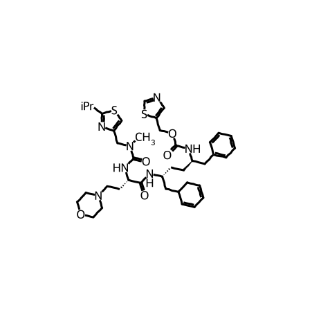 CC(C)c1nc(CN(C)C(=O)N[C@@H](CCN2CCOCC2)C(=O)N[C@H](CC[C@H](Cc2ccccc2)NC(=O)OCc2cncs2)CC2C=CC=CC2)cs1